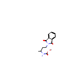 CN(C(=O)OC(C)(C)C)C(CCN1C(=O)c2ccccc2C1=O)C(=O)O